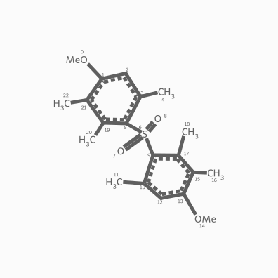 COc1cc(C)c(S(=O)(=O)c2c(C)cc(OC)c(C)c2C)c(C)c1C